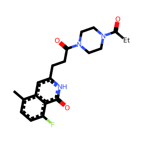 CCC(=O)N1CCN(C(=O)CCc2cc3c(C)ccc(F)c3c(=O)[nH]2)CC1